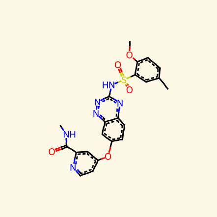 CNC(=O)c1cc(Oc2ccc3nc(NS(=O)(=O)c4cc(C)ccc4OC)nnc3c2)ccn1